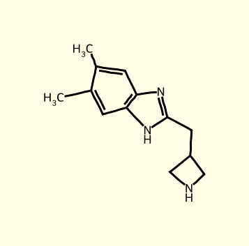 Cc1cc2nc(CC3CNC3)[nH]c2cc1C